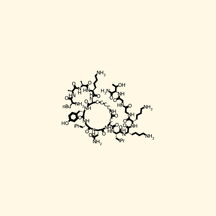 CCCC[C@H](N)C(=O)N[C@@H](C)C(=O)N[C@@H](C)C(=O)N[C@@H](CCCCN)C(=O)N[C@H]1CCCCNC(=O)C[C@@H](C(=O)N[C@@H](CC(C)C)C(=O)N[C@@H](CCCCN)C(=O)N[C@@H](CCCCN)C(=O)NCC(=O)NCC(=O)N[C@H](C(N)=O)C(C)O)NC(=O)[C@H](CC(N)=O)NC(=O)[C@H](CC(C)C)NC(=O)[C@H](Cc2ccc(O)cc2)NC1=O